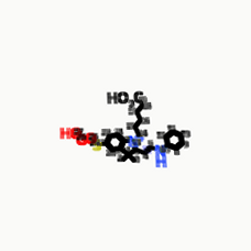 CC1(C)C(/C=C/Nc2ccccc2)=[N+](CCCCCC(=O)O)c2ccc(SOOO)cc21